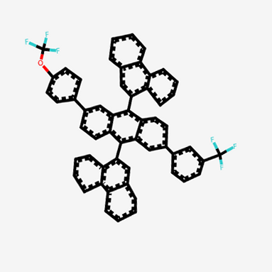 FC(F)(F)Oc1ccc(-c2ccc3c(-c4cc5ccccc5c5ccccc45)c4cc(-c5cccc(C(F)(F)F)c5)ccc4c(-c4cc5ccccc5c5ccccc45)c3c2)cc1